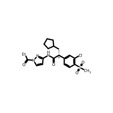 CCC(=O)n1ccc(NC(=O)[C@H](CC2CCCC2)c2ccc(S(C)(=O)=O)c(Cl)c2)n1